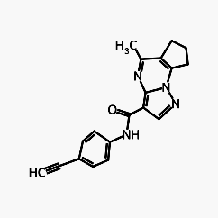 C#Cc1ccc(NC(=O)c2cnn3c4c(c(C)nc23)CCC4)cc1